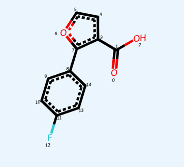 O=C(O)c1ccoc1-c1ccc(F)cc1